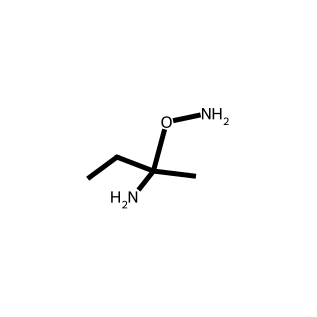 CCC(C)(N)ON